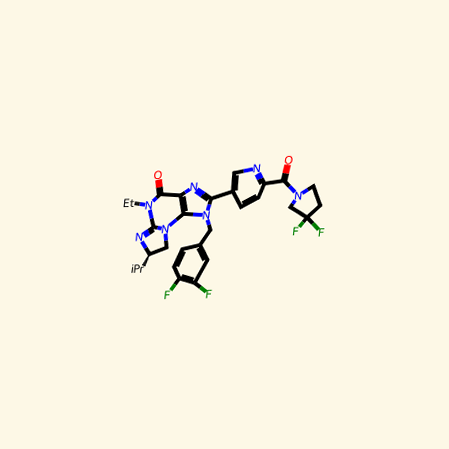 CCN1C(=O)c2nc(-c3ccc(C(=O)N4CCC(F)(F)C4)nc3)n(Cc3ccc(F)c(F)c3)c2N2C[C@@H](C(C)C)N=C12